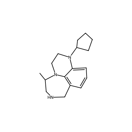 CC1CNCc2cccc3c2N1CCN3C1CCCC1